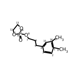 Cc1ccc(CCCOP2(=O)OCCO2)cc1C